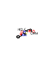 COC(=O)c1ccc(CC2=C(C(=O)O)N3C(=O)[C@@H](NC(=O)Cc4ccccc4)[C@H]3SC2)o1